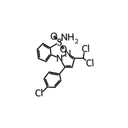 NS(=O)(=O)c1ccccc1-n1nc(C(Cl)Cl)cc1-c1ccc(Cl)cc1